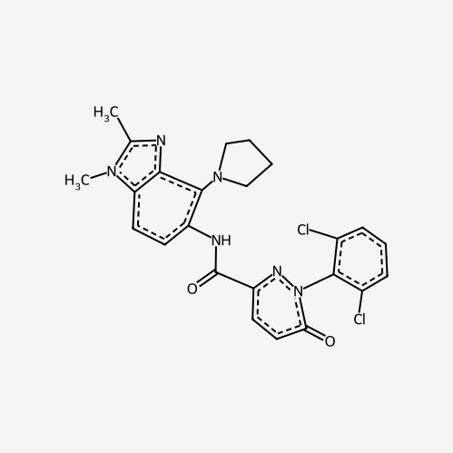 Cc1nc2c(N3CCCC3)c(NC(=O)c3ccc(=O)n(-c4c(Cl)cccc4Cl)n3)ccc2n1C